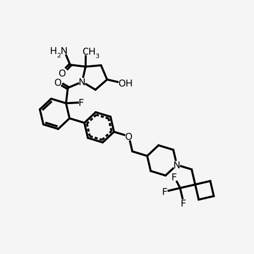 CC1(C(N)=O)CC(O)CN1C(=O)C1(F)C=CC=CC1c1ccc(OCC2CCN(CC3(C(F)(F)F)CCC3)CC2)cc1